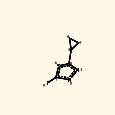 Ic1nnc(C2CC2)s1